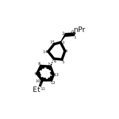 CCCC=C[C@H]1CC[C@H](c2ccc(CC)cc2)CC1